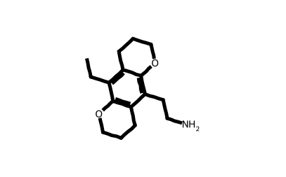 CCc1c2c(c(CCN)c3c1OCCC3)OCCC2